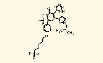 CC(C)Cn1ccc(C2=C(c3nnn[nH]3)C(=O)N[C@@](c3ccc(OCCCCCC(F)(F)F)cc3)(C(F)(F)F)C2)n1